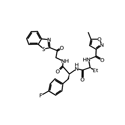 CC[C@H](NC(=O)c1cc(C)on1)C(=O)N[C@@H](Cc1ccc(F)cc1)C(=O)NCC(=O)c1nc2ccccc2s1